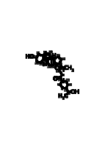 CC(O)C1CCN(C(=O)CCC(C)[C@H]2CC[C@H]3[C@@H]4CC=C5C[C@@H](O)CC[C@]5(C)[C@H]4CC[C@]23C)CC1